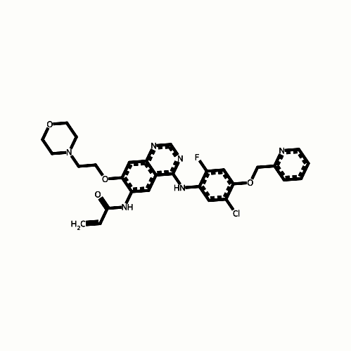 C=CC(=O)Nc1cc2c(Nc3cc(Cl)c(OCc4ccccn4)cc3F)ncnc2cc1OCCN1CCOCC1